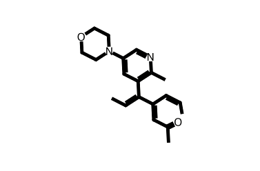 C\C=C/C(=C\C(C)=O)C(=C/C)/c1cc(N2CCOCC2)cnc1C